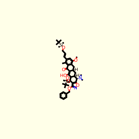 COc1cc(C=CCO[Si](C)(C)C(C)(C)C)c(C)c2c1C[C@H]1C[C@H]3[C@H](N(C)C)c4onc(OCc5ccccc5)c4C(=O)[C@@]3(O[Si](C)(C)C(C)(C)C)C(O)=C1C2=O